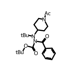 CC(=O)N1CCC(N(N(C(=O)OC(C)(C)C)C(=O)c2ccccc2)C(C)(C)C)CC1